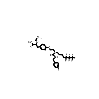 CCOC(Cc1ccc(OCCN(CCCCC(F)(F)C(F)(F)C(F)(F)F)C(=O)NCc2ccc(F)cc2)cc1)C(=O)O